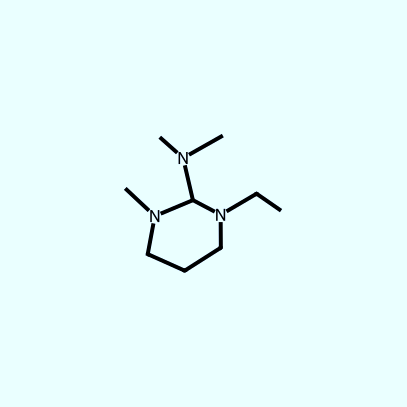 CCN1CCCN(C)C1N(C)C